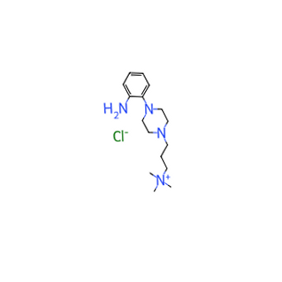 C[N+](C)(C)CCCN1CCN(c2ccccc2N)CC1.[Cl-]